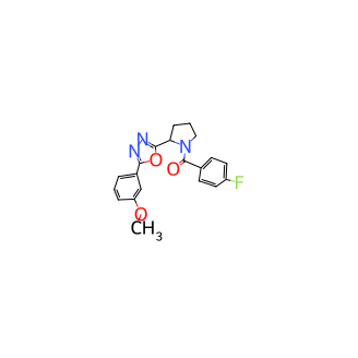 COc1cccc(-c2nnc(C3CCCN3C(=O)c3ccc(F)cc3)o2)c1